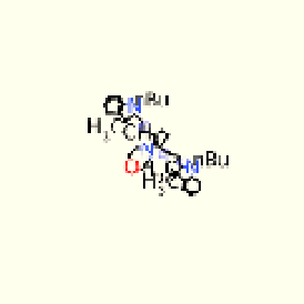 CCCCN1/C(=C/C=C2\CCC(/C=C/C3N(CCCC)c4ccccc4C3(C)C)=C2N2CCOCC2)C(C)(C)c2ccccc21